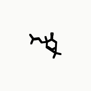 CC(C)=CCC1(C)C=C2C(CC1=O)C2(C)C